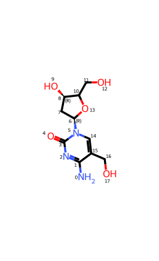 Nc1nc(=O)n([C@H]2C[C@@H](O)C(CO)O2)cc1CO